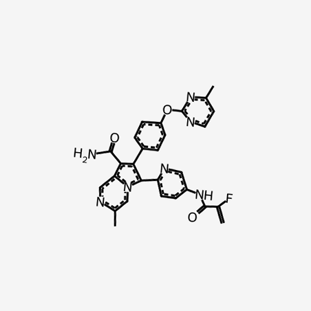 C=C(F)C(=O)Nc1ccc(-c2c(-c3ccc(Oc4nccc(C)n4)cc3)c(C(N)=O)c3cnc(C)cn23)nc1